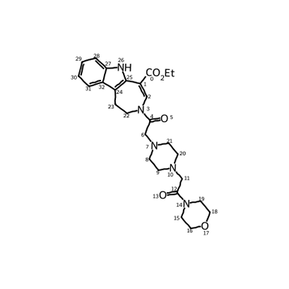 CCOC(=O)C1=CN(C(=O)CN2CCN(CC(=O)N3CCOCC3)CC2)CCc2c1[nH]c1ccccc21